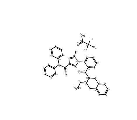 Cc1cc(C(=O)N(c2ccccc2)c2ccccc2)cn1-c1ccccc1C(=O)N1Cc2ccccc2C[C@H]1CN.O=C(O)C(F)(F)F